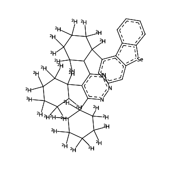 [2H]C1C([2H])([2H])C([2H])([2H])C([2H])([2H])C([2H])([2H])C1([2H])c1nnnc(C2C([2H])([2H])C([2H])([2H])C([2H])([2H])C([2H])([2H])C2([2H])c2cccc3[se]c4ccccc4c23)c1C1([2H])C([2H])C([2H])([2H])C([2H])([2H])C([2H])([2H])C1([2H])[2H]